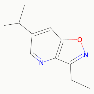 CCc1noc2cc(C(C)C)cnc12